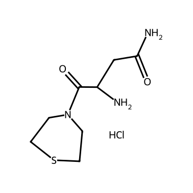 Cl.NC(=O)CC(N)C(=O)N1CCSCC1